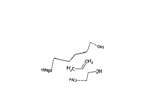 C=CC.CCCCCCCCCCCCO.OCCO